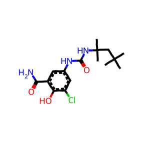 CC(C)(C)CC(C)(C)NC(=O)Nc1cc(Cl)c(O)c(C(N)=O)c1